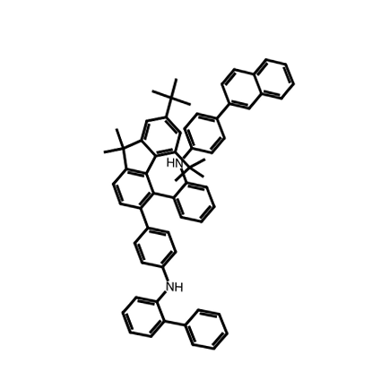 CC(C)(C)c1cc(C(C)(C)C)c2c(c1)C(C)(C)c1ccc(-c3ccc(Nc4ccccc4-c4ccccc4)cc3)c(-c3ccccc3Nc3ccc(-c4ccc5ccccc5c4)cc3)c1-2